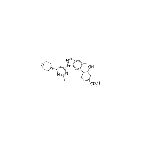 Cc1nc(N2CCOCC2)cc(-n2ncc3cc(C)c(C4CCN(C(=O)O)CC4O)cc32)n1